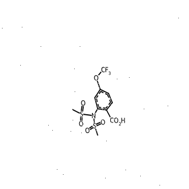 CS(=O)(=O)N(c1cc(OC(F)(F)F)ccc1C(=O)O)S(C)(=O)=O